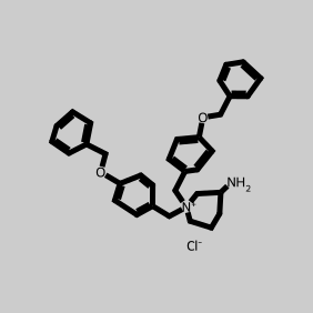 NC1CCC[N+](Cc2ccc(OCc3ccccc3)cc2)(Cc2ccc(OCc3ccccc3)cc2)C1.[Cl-]